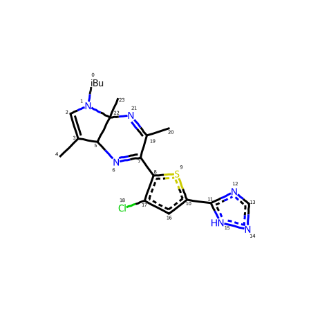 CCC(C)N1C=C(C)C2N=C(c3sc(-c4ncn[nH]4)cc3Cl)C(C)=NC21C